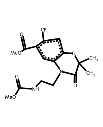 COC(=O)NCCN1C(=O)C(C)(C)Oc2cc(C(F)(F)F)c(C(=O)OC)cc21